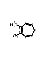 NC1=C(Cl)C=CCC=C1